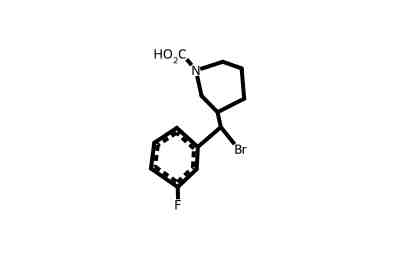 O=C(O)N1CCCC(C(Br)c2cccc(F)c2)C1